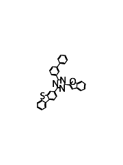 c1ccc(-c2cccc(-c3nc(-c4ccc5c(c4)sc4ccccc45)nc(-c4cc5ccccc5o4)n3)c2)cc1